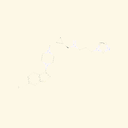 FC(F)(F)c1ccc2c(N3CCN(C[C@@H]4C[C@H]4CNCCCn4ccnc4)CC3)csc2c1